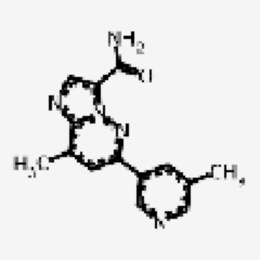 Cc1cncc(-c2cc(C)c3ncc(C(N)=O)n3n2)c1